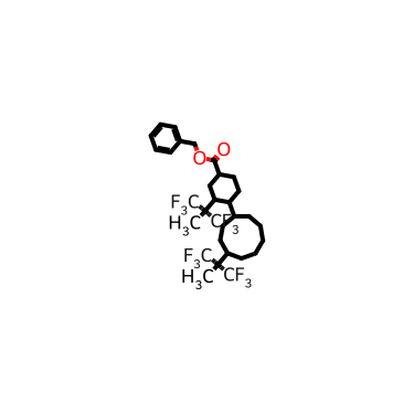 CC(C1CCCCCC(C2CCC(C(=O)OCc3ccccc3)CC2C(C)(C(F)(F)F)C(F)(F)F)CC1)(C(F)(F)F)C(F)(F)F